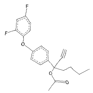 C#CC(CCCC)(OC(C)=O)c1ccc(Oc2ccc(F)cc2F)cc1